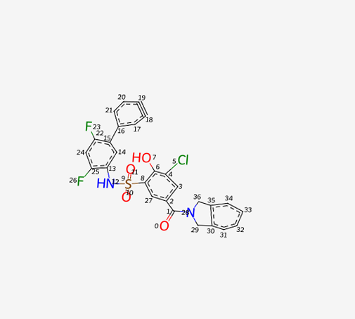 O=C(c1cc(Cl)c(O)c(S(=O)(=O)Nc2cc(-c3cc#ccc3)c(F)cc2F)c1)N1Cc2ccccc2C1